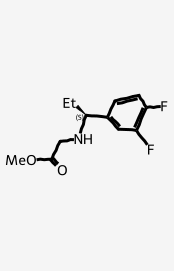 CC[C@H](NCC(=O)OC)c1ccc(F)c(F)c1